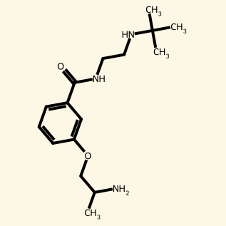 CC(N)COc1cccc(C(=O)NCCNC(C)(C)C)c1